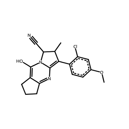 COc1ccc(C2=C3N=C4CCCC4=C(O)N3C(C#N)C2C)c(Cl)c1